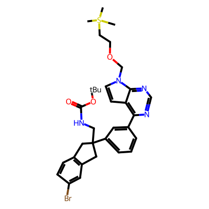 CC(C)(C)OC(=O)NCC1(c2cccc(-c3ncnc4c3ccn4COCCS(C)(C)C)c2)Cc2ccc(Br)cc2C1